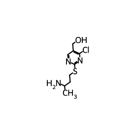 CC(N)CCSc1ncc(CO)c(Cl)n1